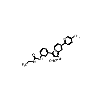 Cc1ccc(-c2ccn3c(-c4cccc(NC(=O)NCC(F)(F)F)c4)cnc3c2)nc1.O=CO